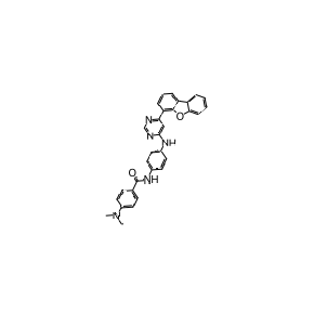 CN(C)c1ccc(C(=O)Nc2ccc(Nc3cc(-c4cccc5c4oc4ccccc45)ncn3)cc2)cc1